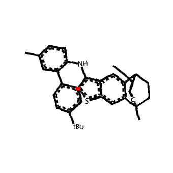 Cc1ccc(Nc2csc3cc4c(cc23)C2CCC4(C)CCC2C)c(-c2ccc(C(C)(C)C)cc2)c1